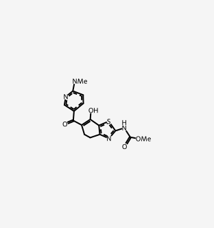 CNc1ccc(C(=O)C2=C(O)c3sc(NC(=O)OC)nc3CC2)cn1